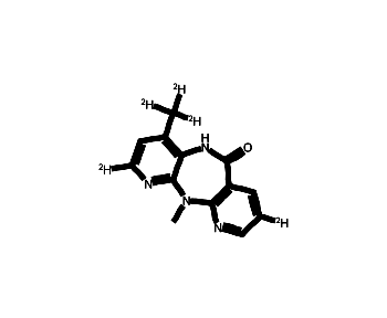 [2H]c1cnc2c(c1)C(=O)Nc1c(C([2H])([2H])[2H])cc([2H])nc1N2C